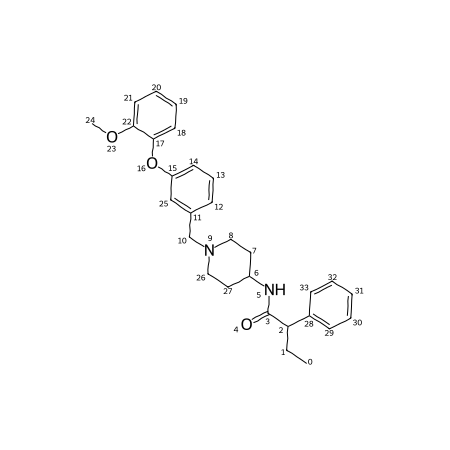 CCC(C(=O)NC1CCN(Cc2cccc(Oc3ccccc3OC)c2)CC1)c1ccccc1